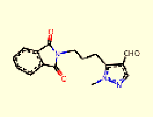 Cn1ncc(C=O)c1CCCN1C(=O)c2ccccc2C1=O